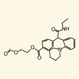 CCNC(=O)C(c1ccc(C(=O)OCCO[C]=O)cc1)c1ccccc1N1CCCCC1